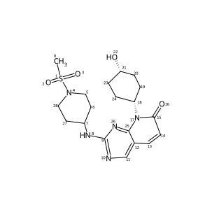 CS(=O)(=O)N1CCC(Nc2ncc3ccc(=O)n([C@H]4CC[C@@H](O)CC4)c3n2)CC1